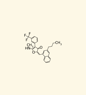 CCCCc1cc(C=C2OC(NC)=C(c3cccc(C(F)(F)F)c3)C2=O)c2ccccc2c1